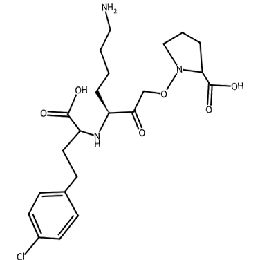 NCCCC[C@H](NC(CCc1ccc(Cl)cc1)C(=O)O)C(=O)CON1CCCC1C(=O)O